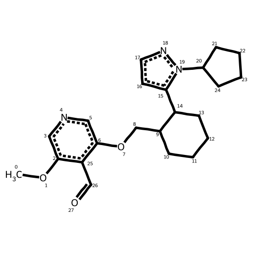 COc1cncc(OCC2CCCCC2c2ccnn2C2CCCC2)c1C=O